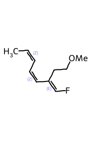 C\C=C/C=C\C(=C\F)CCOC